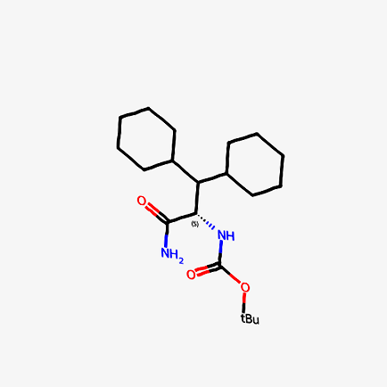 CC(C)(C)OC(=O)N[C@H](C(N)=O)C(C1CCCCC1)C1CCCCC1